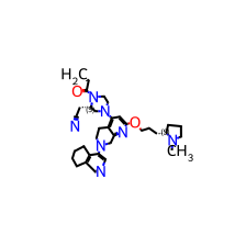 C=CC(=O)N1CCN(c2cc(OCCC[C@@H]3CCCN3C)nc3c2CCN(c2cncc4c2CCCC4)C3)C[C@@H]1CC#N